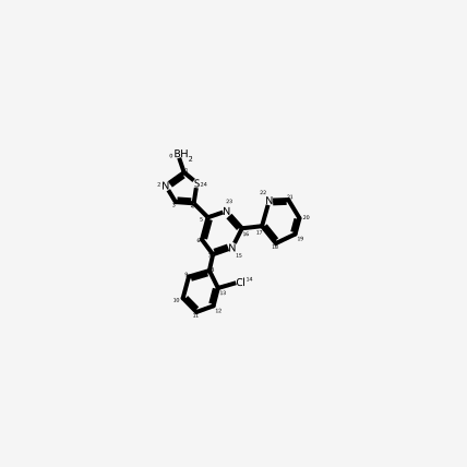 Bc1ncc(-c2cc(-c3ccccc3Cl)nc(-c3ccccn3)n2)s1